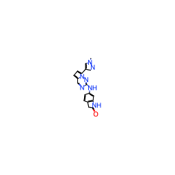 Cn1cc(-c2ccc3cnc(Nc4ccc5c(c4)NC(=O)C5)nn23)cn1